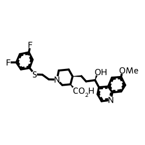 COc1ccc2nccc([C@H](O)CC[C@@H]3CCN(CCSc4cc(F)cc(F)c4)C[C@@H]3C(=O)O)c2c1